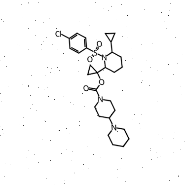 O=C(OC1(C2CCCC(C3CC3)N2S(=O)(=O)c2ccc(Cl)cc2)CC1)N1CCC(N2CCCCC2)CC1